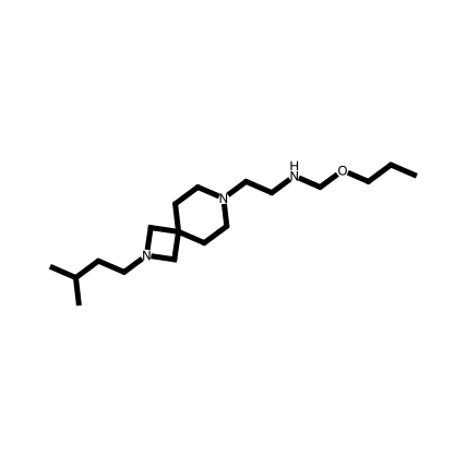 CCCOCNCCN1CCC2(CC1)CN(CCC(C)C)C2